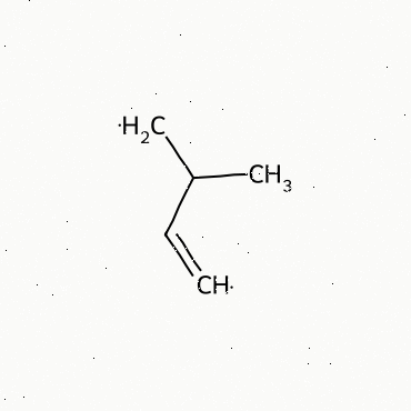 [CH]=CC([CH2])C